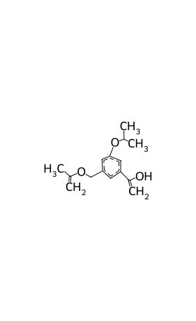 C=C(C)OCc1cc(OC(C)C)cc(C(=C)O)c1